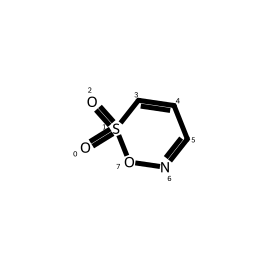 O=S1(=O)C=CC=NO1